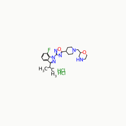 CC(C)c1nn(-c2noc(C3CCN(CC4CNCCO4)CC3)n2)c2c(F)cccc12.Cl.Cl